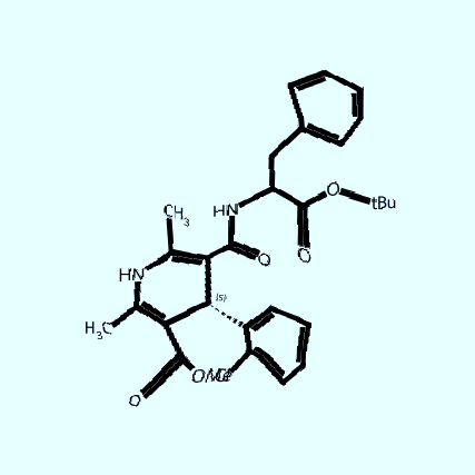 COC(=O)C1=C(C)NC(C)=C(C(=O)NC(Cc2ccccc2)C(=O)OC(C)(C)C)[C@@H]1c1ccccc1Cl